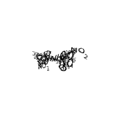 O=C1c2cccc3cc([N+](=O)[O-])cc(c23)C(=O)N1CCCNCCN1C(=O)c2cccc3cc([N+](=O)[O-])cc(c23)C1=O